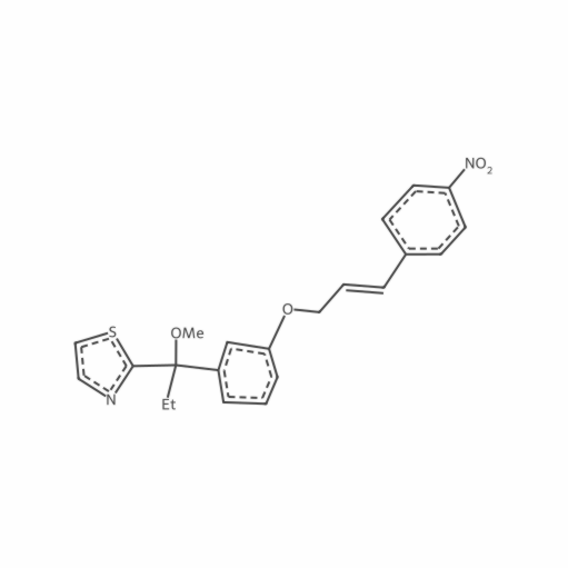 CCC(OC)(c1cccc(OC/C=C/c2ccc([N+](=O)[O-])cc2)c1)c1nccs1